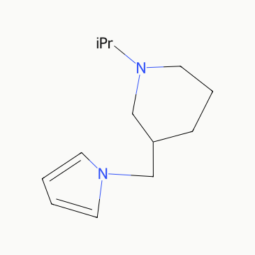 CC(C)N1CCCC(Cn2cccc2)C1